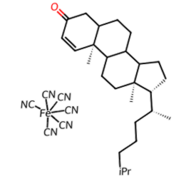 CC(C)CCC[C@@H](C)[C@H]1CCC2C3CCC4CC(=O)C=C[C@]4(C)C3CC[C@@]21C.N#[C][Fe]([C]#N)([C]#N)([C]#N)([C]#N)[C]#N